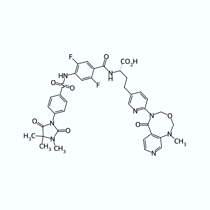 CN1COCN(c2ccc(CC[C@H](NC(=O)c3cc(F)c(NS(=O)(=O)c4ccc(N5C(=O)N(C)C(C)(C)C5=O)cc4)cc3F)C(=O)O)cn2)C(=O)c2ccncc21